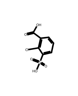 O=C(O)c1cccc(S(=O)(=O)O)c1Cl